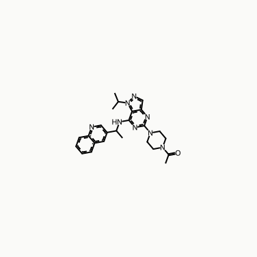 CC(=O)N1CCN(c2nc(NC(C)c3cnc4ccccc4c3)c3c(cnn3C(C)C)n2)CC1